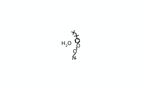 CN(C)CCOCCOc1ccc(C(C)(C)CC(C)(C)C)cc1.O